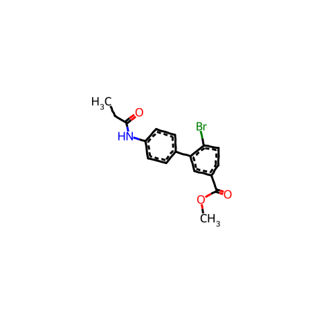 CCC(=O)Nc1ccc(-c2cc(C(=O)OC)ccc2Br)cc1